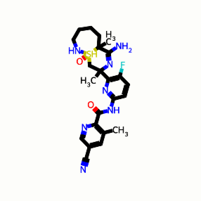 Cc1cc(C#N)cnc1C(=O)Nc1ccc(F)c(C2(C)C[SH]3(=O)NCCCCC3(C)C(N)=N2)n1